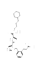 O=C(O)CCc1ccccc1Cn1cncc1-c1nc(C(=O)NCCCCC2CCCCC2)co1